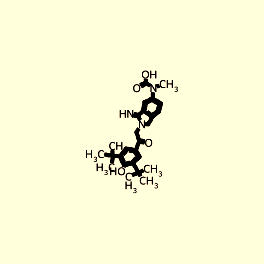 CN(C(=O)O)c1ccc2c(c1)C(=N)N(CC(=O)c1cc(C(C)(C)C)c(O)c(C(C)(C)C)c1)C2